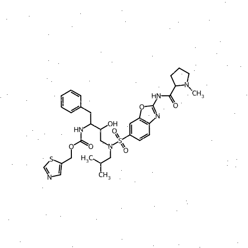 CC(C)CN(CC(O)C(Cc1ccccc1)NC(=O)OCc1cncs1)S(=O)(=O)c1ccc2nc(NC(=O)C3CCCN3C)oc2c1